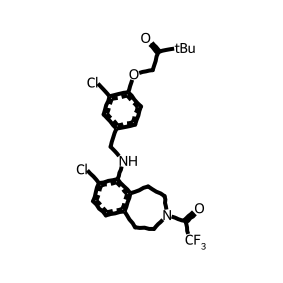 CC(C)(C)C(=O)COc1ccc(CNc2c(Cl)ccc3c2CCN(C(=O)C(F)(F)F)CC3)cc1Cl